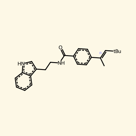 C/C(=C\C(C)(C)C)c1ccc(C(=O)NCCc2c[nH]c3ccccc23)cc1